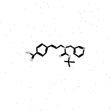 CC(C)(C)OC(=O)N(CC=Cc1ccc(C(=O)O)cc1)Cc1cccnc1